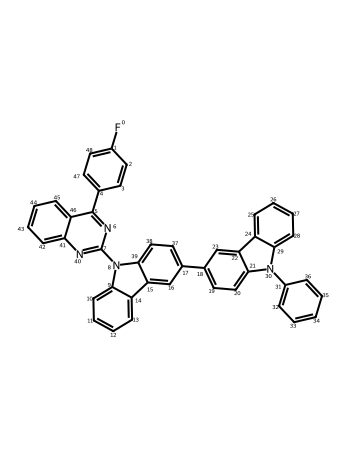 Fc1ccc(-c2nc(-n3c4ccccc4c4cc(-c5ccc6c(c5)c5ccccc5n6-c5ccccc5)ccc43)nc3ccccc23)cc1